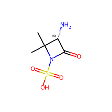 CC1(C)[C@H](N)C(=O)N1S(=O)(=O)O